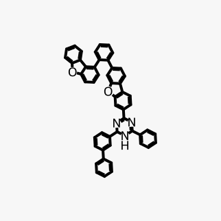 c1ccc(C2=NC(c3ccc4c(c3)oc3cc(-c5ccccc5-c5cccc6oc7ccccc7c56)ccc34)=NC(c3cccc(-c4ccccc4)c3)N2)cc1